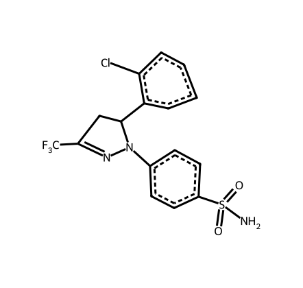 NS(=O)(=O)c1ccc(N2N=C(C(F)(F)F)CC2c2ccccc2Cl)cc1